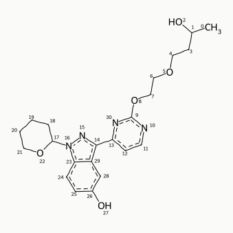 CC(O)CCOCCOc1nccc(-c2nn(C3CCCCO3)c3ccc(O)cc23)n1